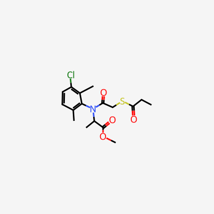 CCC(=O)SCC(=O)N(c1c(C)ccc(Cl)c1C)C(C)C(=O)OC